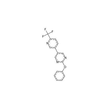 FC(F)(F)c1ccc(-c2cnc(Oc3ccccc3)nc2)cn1